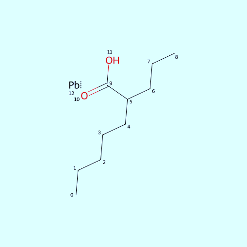 CCCCCC(CCC)C(=O)O.[Pb]